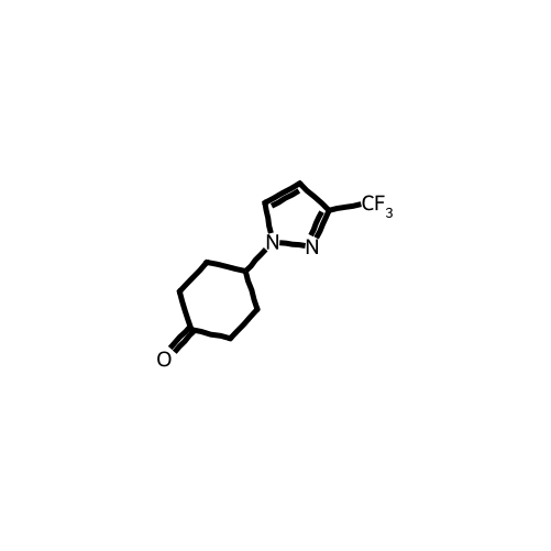 O=C1CCC(n2ccc(C(F)(F)F)n2)CC1